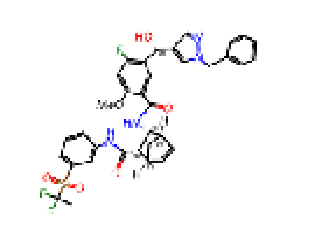 COc1cc(F)c([C@H](O)c2cnn(Cc3ccccc3)c2)cc1C(=O)N[C@H]1[C@@H](C(=O)Nc2cccc(S(=O)(=O)C(C)(F)F)c2)[C@@H]2C=C[C@H]1C2